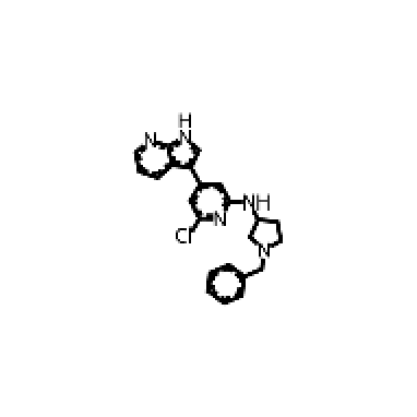 Clc1cc(-c2c[nH]c3ncccc23)cc(NC2CCN(Cc3ccccc3)C2)n1